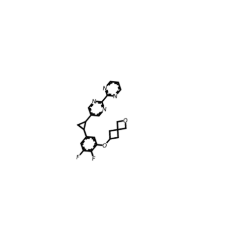 Fc1cc(C2CC2c2cnc(-c3ncccn3)nc2)cc(OC2CC3(COC3)C2)c1F